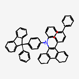 C1=Cc2c(c3c(c(N(c4ccccc4)c4ccc(C5(c6ccccc6)c6ccccc6-c6ccccc65)cc4)c2-c2ccc(-c4ccccc4)cc2)C=CCC3)CC1